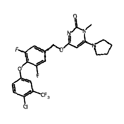 Cn1c(N2CCCC2)cc(OCc2cc(F)c(Oc3ccc(Cl)c(C(F)(F)F)c3)c(F)c2)nc1=O